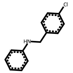 Clc1ccc(CNc2[c]cccc2)cc1